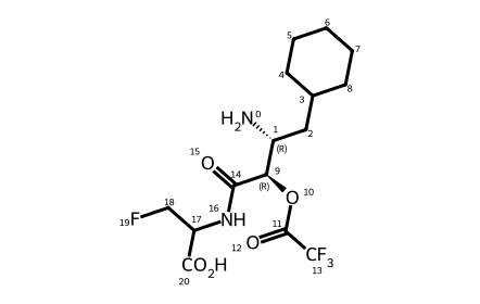 N[C@H](CC1CCCCC1)[C@@H](OC(=O)C(F)(F)F)C(=O)NC(CF)C(=O)O